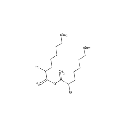 C=C(OC(=C)C(CC)CCCCCCCCCCCCCCC)C(CC)CCCCCCCCCCCCCCC